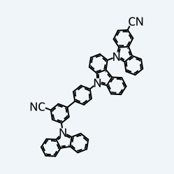 N#Cc1cc(-c2ccc(-n3c4ccccc4c4c(-n5c6ccccc6c6cc(C#N)ccc65)cccc43)cc2)cc(-n2c3ccccc3c3ccccc32)c1